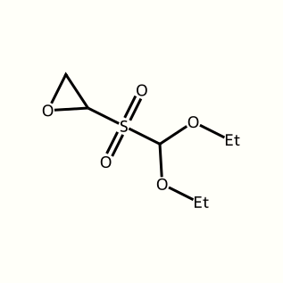 CCOC(OCC)S(=O)(=O)C1CO1